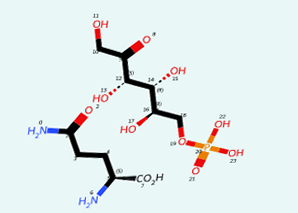 NC(=O)CC[C@H](N)C(=O)O.O=C(CO)[C@@H](O)[C@H](O)[C@H](O)COP(=O)(O)O